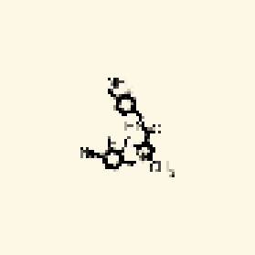 Cc1cc(C(=O)NCc2ccc(CN)cc2)c(C)n1Cc1ccc(C#N)cc1